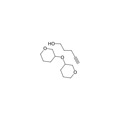 C#CCCCO.C1COCC(OC2CCCOC2)C1